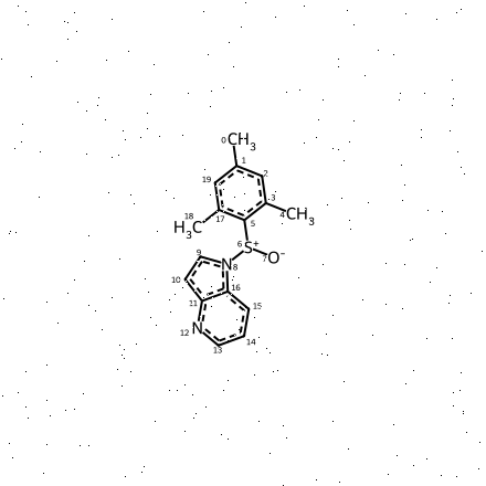 Cc1cc(C)c([S+]([O-])n2ccc3ncccc32)c(C)c1